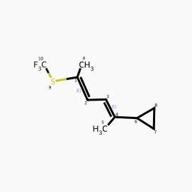 C/C(=C\C=C(/C)C1CC1)SC(F)(F)F